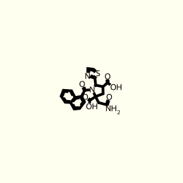 NC(=O)CC1(C(=O)O)CC(C(=O)O)C(c2nccs2)N1C(=O)c1cccc2ccccc12